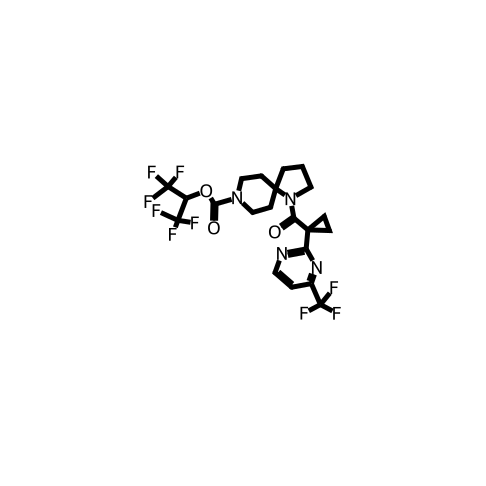 O=C(OC(C(F)(F)F)C(F)(F)F)N1CCC2(CCCN2C(=O)C2(c3nccc(C(F)(F)F)n3)CC2)CC1